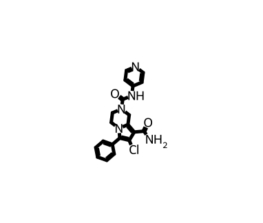 NC(=O)c1c(Cl)c(-c2ccccc2)n2c1CN(C(=O)Nc1ccncc1)CC2